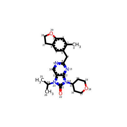 Cc1cc2c(cc1Cc1ncc3c(n1)n(C1CCOCC1)c(=O)n3C(C)C)CCO2